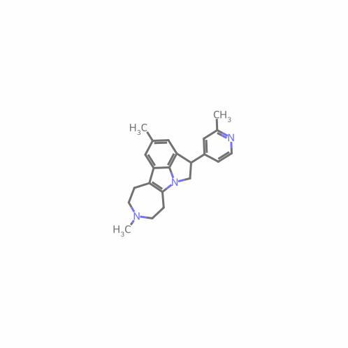 Cc1cc2c3c(c1)c1c(n3CC2c2ccnc(C)c2)CCN(C)CC1